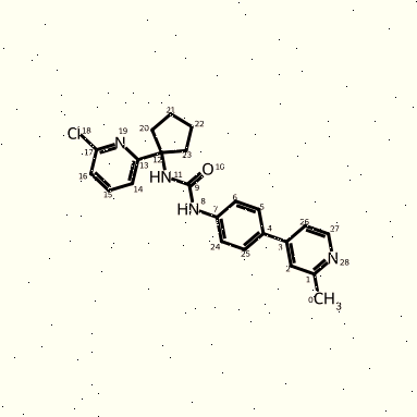 Cc1cc(-c2ccc(NC(=O)NC3(c4cccc(Cl)n4)CCCC3)cc2)ccn1